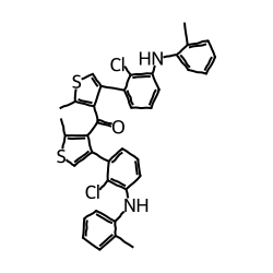 Cc1ccccc1Nc1cccc(-c2csc(C)c2C(=O)c2c(-c3cccc(Nc4ccccc4C)c3Cl)csc2C)c1Cl